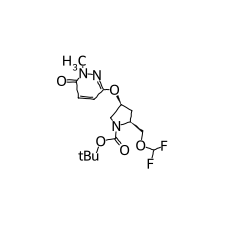 Cn1nc(O[C@H]2C[C@@H](COC(F)F)N(C(=O)OC(C)(C)C)C2)ccc1=O